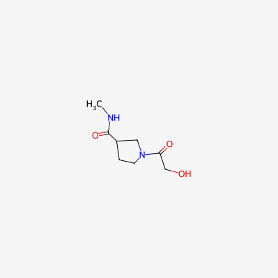 CNC(=O)C1CCN(C(=O)CO)C1